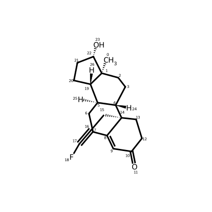 C[C@]12CC[C@H]3[C@@H](CCC4=CC(=O)CC[C@@]43CC#CF)[C@@H]1CC[C@@H]2O